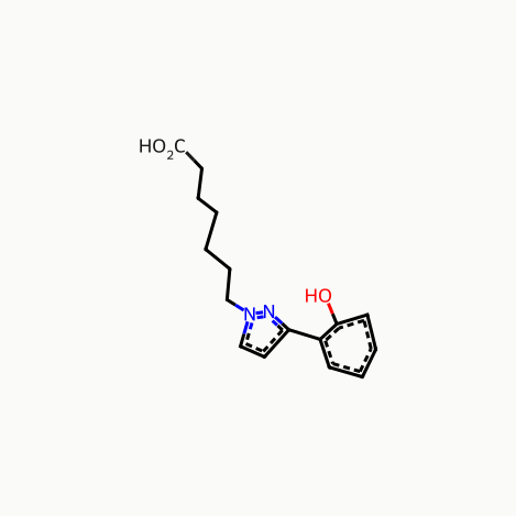 O=C(O)CCCCCCn1ccc(-c2ccccc2O)n1